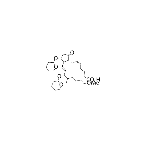 COCCCCC(C)[C@@H](/C=C/[C@H]1[C@H](OC2CCCCO2)CC(=O)[C@@H]1C/C=C\CCCC(=O)O)OC1CCCCO1